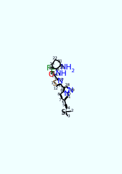 C[Si](C)(C)C#Cc1ccc2c(-c3csc(C(=O)N[C@@H]4[C@@H](N)CCCC4(F)F)n3)cnn2c1